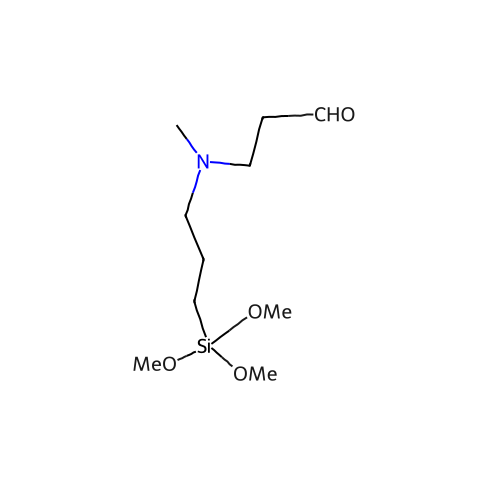 CO[Si](CCCN(C)CCC=O)(OC)OC